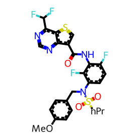 CCCS(=O)(=O)N(Cc1ccc(OC)cc1)c1ccc(F)c(NC(=O)c2csc3c(C(F)F)ncnc23)c1F